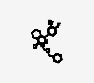 O=c1c2c(c(-c3ccc(F)c(Br)c3)nn1COCc1ccccc1)CCCC2